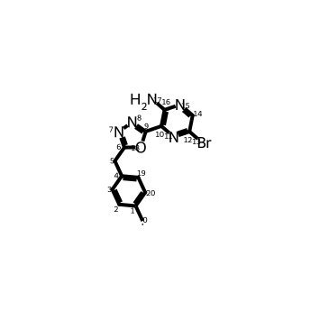 [CH2]c1ccc(Cc2nnc(-c3nc(Br)cnc3N)o2)cc1